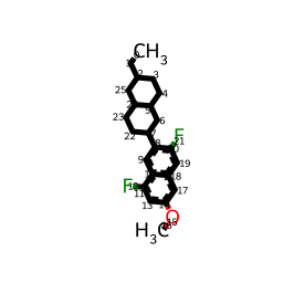 CCC1CCC2CC(c3cc4c(F)cc(OC)cc4cc3F)CCC2C1